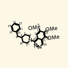 COc1cc2c(N3CCC(Cc4ccccc4)CC3)nncc2c(OC)c1OC